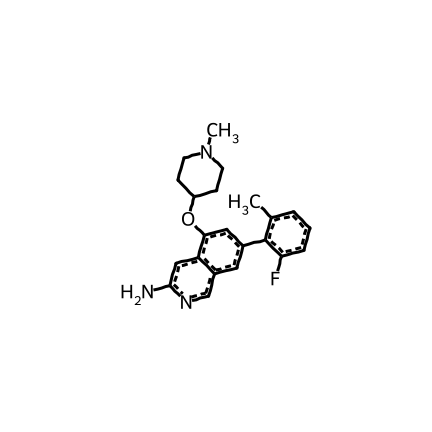 Cc1cccc(F)c1-c1cc(OC2CCN(C)CC2)c2cc(N)ncc2c1